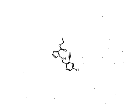 CCOC(=O)c1cccn1NCc1ccc(Cl)cc1C#N